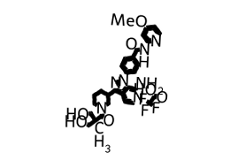 COc1ccnc(NC(=O)c2ccc(-n3nc(C4CCCN(C(=O)C(C)(CO)CO)C4)c4ccnc(N)c43)cc2)c1.O=C(O)C(F)(F)F